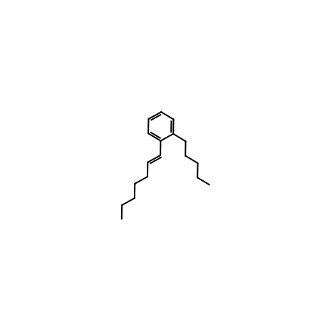 CCCCCC=Cc1ccccc1CCCCC